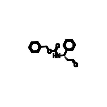 O=CC[C@H](NC(=O)OCc1ccccc1)c1ccccc1